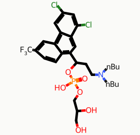 CCCCN(CCCC)CCC(OP(=O)(O)OCC(O)CO)c1cc2c(Cl)cc(Cl)cc2c2cc(C(F)(F)F)ccc12